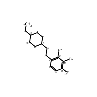 CCC1CCC(CCc2ccc(F)c(F)c2F)CC1